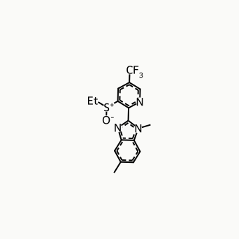 CC[S+]([O-])c1cc(C(F)(F)F)cnc1-c1nc2cc(C)ccc2n1C